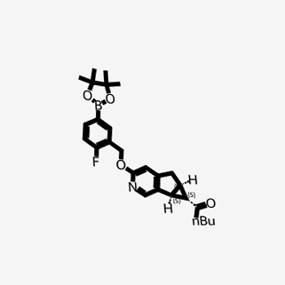 CCCCC(=O)[C@H]1[C@@H]2Cc3cc(OCc4cc(B5OC(C)(C)C(C)(C)O5)ccc4F)ncc3[C@@H]21